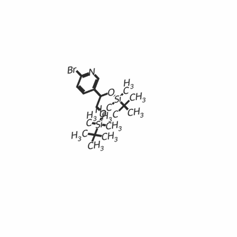 CC(C)(C)[Si](C)(C)OCC(O[Si](C)(C)C(C)(C)C)c1ccc(Br)nc1